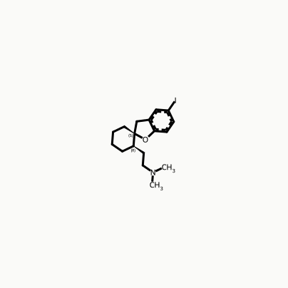 CN(C)CC[C@H]1CCCC[C@]12Cc1cc(I)ccc1O2